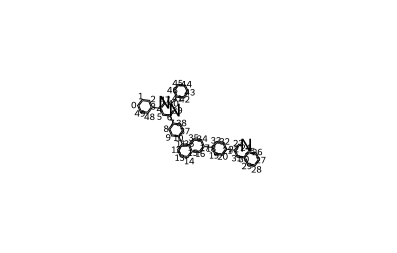 c1ccc(-c2cc(-c3ccc(-c4cccc5cc(-c6ccc(-c7cnc8ccccc8c7)cc6)ccc45)cc3)nc(-c3ccccc3)n2)cc1